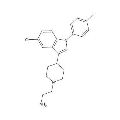 NCCN1CCC(c2cn(-c3ccc(F)cc3)c3ccc(Cl)cc23)CC1